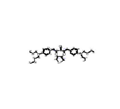 C/C=C1/O/C(=C\c2ccc(N(CCC)CCCC)cc2)C(=O)/C(=C/c2ccc(N(CCC)CCCC)cc2)O/C1=C/C